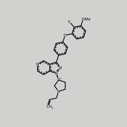 C=CCN1CC[C@H](n2nc(-c3ccc(Oc4cccc(OC)c4F)cc3)c3cnccc32)C1